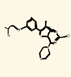 Cc1c(-c2cccc(SC[C@H](C)O)c2)sc2c(N3CCOCC3)nc(Cl)nc12